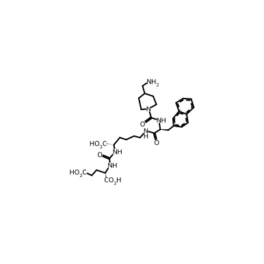 NCC1CCN(C(=O)N[C@@H](Cc2ccc3ccccc3c2)C(=O)NCCCC[C@H](NC(=O)N[C@@H](CCC(=O)O)C(=O)O)C(=O)O)CC1